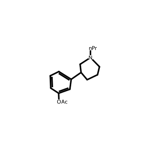 CCCN1CCCC(c2cccc(OC(C)=O)c2)C1